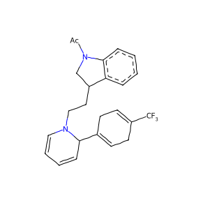 CC(=O)N1CC(CCN2C=CC=CC2C2=CCC(C(F)(F)F)=CC2)c2ccccc21